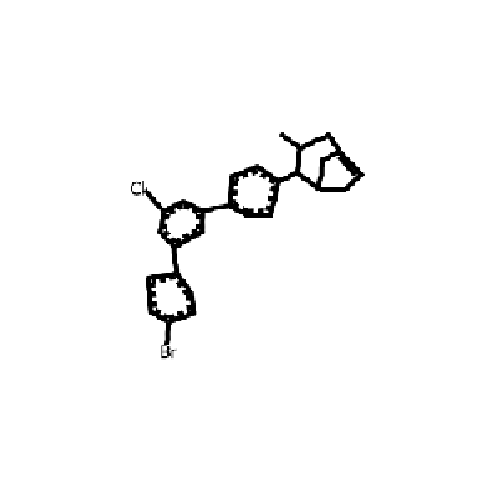 CC1CC2=CCC(C2)C1c1ccc(-c2cc(Cl)cc(-c3ccc(Br)cc3)c2)cc1